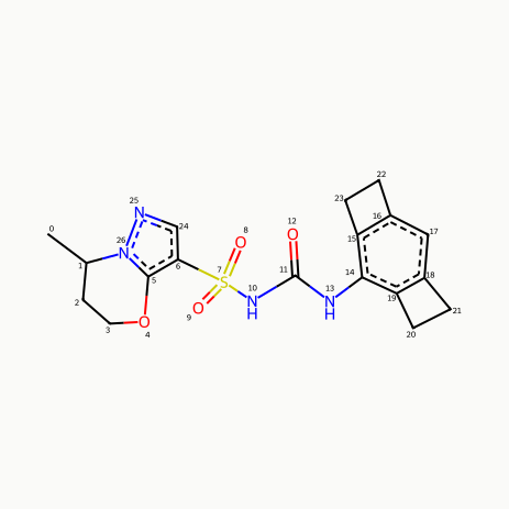 CC1CCOc2c(S(=O)(=O)NC(=O)Nc3c4c(cc5c3CC5)CC4)cnn21